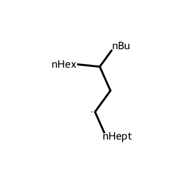 CCCCCCC[CH]CC(CCCC)CCCCCC